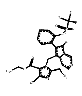 CCOC(=O)c1c(Cl)nc(CC)n1Cc1c2ccocc-2c(Br)c1-c1ccccc1NS(=O)(=O)C(F)(F)F